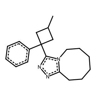 CC1CC(c2ccccc2)(c2nnc3n2CCCCCC3)C1